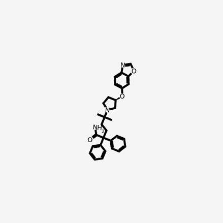 CC(C)(CCC(C(N)=O)(c1ccccc1)c1ccccc1)N1CC[C@@H](Oc2ccc3ncoc3c2)C1